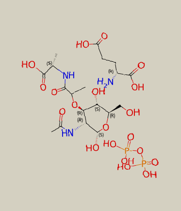 CC(=O)N[C@@H]1[C@@H](OC(C)C(=O)N[C@@H](C)C(=O)O)[C@H](O)[C@@H](CO)O[C@@H]1O.N[C@H](CCC(=O)O)C(=O)O.O=P(O)(O)OP(=O)(O)O